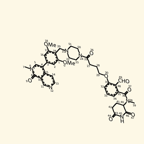 COc1cc(-c2cn(C)c(=O)c3cnccc23)cc(OC)c1CN1CCN(C(=O)CCCOc2cccc(C(=O)N(C)C3CCC(=O)NC3=O)c2C=O)CC1